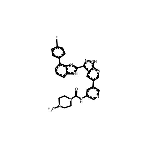 CN1CCN(C(=O)Nc2cncc(-c3cnc4[nH]nc(-c5nc6c(-c7ccc(F)cc7)cccc6[nH]5)c4c3)c2)CC1